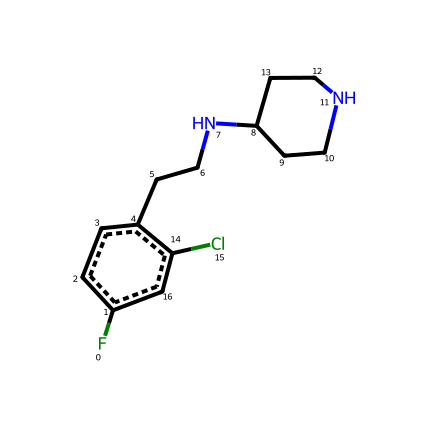 Fc1ccc(CCNC2CCNCC2)c(Cl)c1